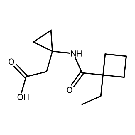 CCC1(C(=O)NC2(CC(=O)O)CC2)CCC1